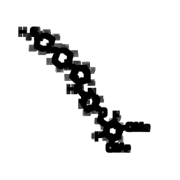 COc1cc(OC)c(F)c(COc2cnc(Nc3cccc(N4CCC(N5CCN(C)CC5)CC4)c3)nc2)c1F